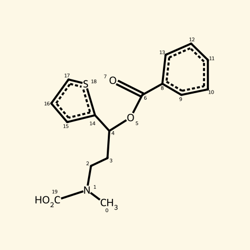 CN(CCC(OC(=O)c1ccccc1)c1cccs1)C(=O)O